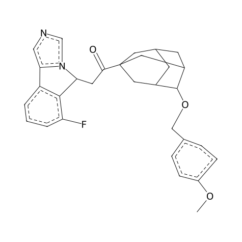 COc1ccc(COC2C3CC4CC2CC(C(=O)CC2c5c(F)cccc5-c5cncn52)(C4)C3)cc1